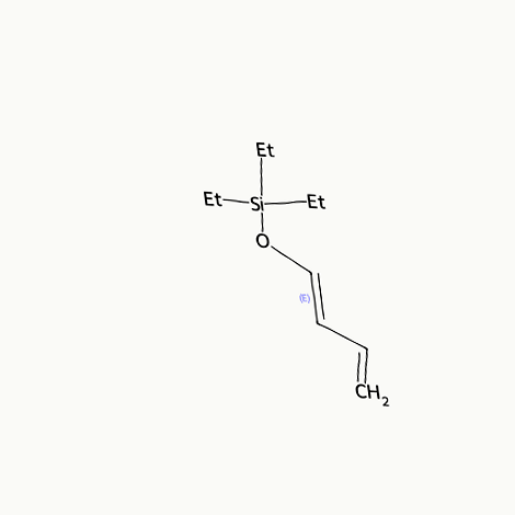 C=C/C=C/O[Si](CC)(CC)CC